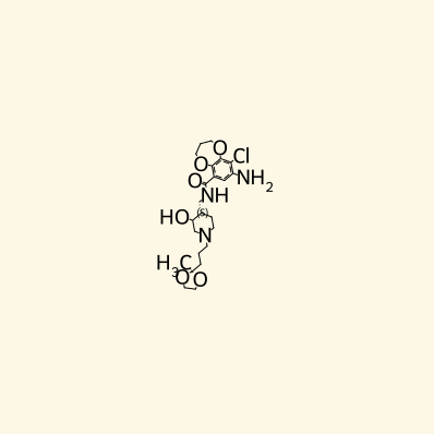 CC1(CCCN2CC[C@@H](CNC(=O)c3cc(N)c(Cl)c4c3OCCCO4)C(O)C2)OCCO1